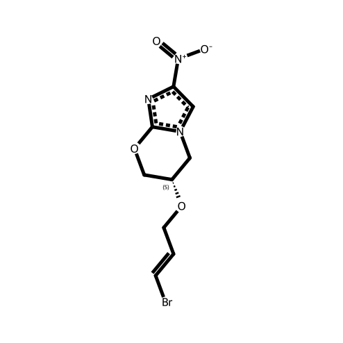 O=[N+]([O-])c1cn2c(n1)OC[C@@H](OCC=CBr)C2